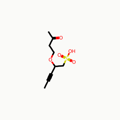 CC#CC(CS(=O)(=O)O)OCCC(C)=O